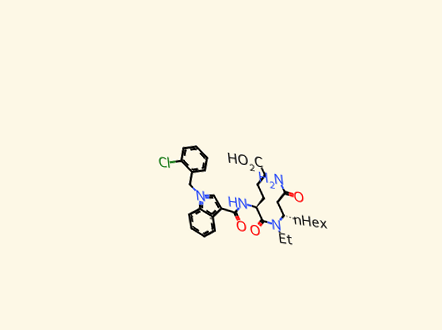 CCCCCC[C@@H](CC(N)=O)N(CC)C(=O)[C@H](CCCC(=O)O)NC(=O)c1cn(Cc2ccccc2Cl)c2ccccc12